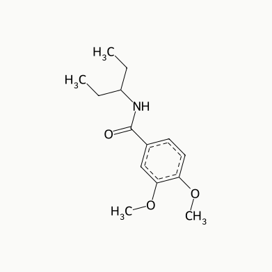 CCC(CC)NC(=O)c1ccc(OC)c(OC)c1